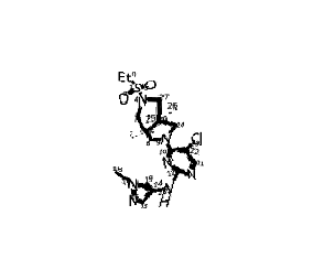 CCS(=O)(=O)N1C[C@]2(C)CN(c3nc(Nc4cnn(C)c4)ncc3Cl)C[C@]2(C)C1